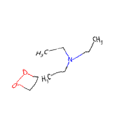 C1COO1.CCN(CC)CC